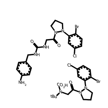 CC(C)(C)N(CC(=O)N1CCCN1c1cc(Cl)ccc1Br)C(=O)O.Nc1ccc(CNC(=O)NCC(=O)N2CCCN2c2cc(Cl)ccc2Br)cc1